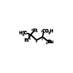 CCC(C)C(CC(C)(CC)CC)C(=O)O